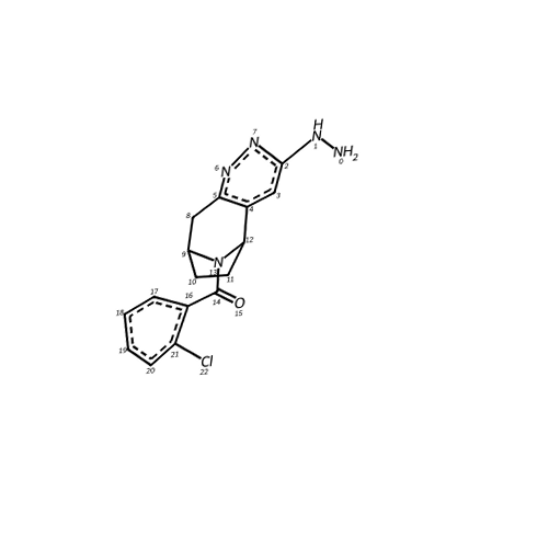 NNc1cc2c(nn1)CC1CCC2N1C(=O)c1ccccc1Cl